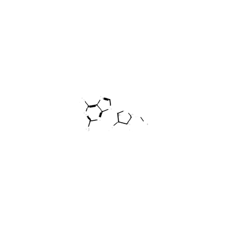 Nc1nc(N)c2ncn([C@@H]3O[C@H](CO)[C@H](O)C3N)c2n1